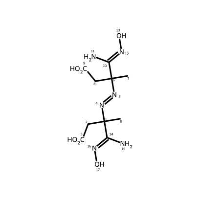 CC(CC(=O)O)(N=NC(C)(CC(=O)O)C(N)=NO)C(N)=NO